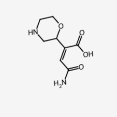 NC(=O)C=C(C(=O)O)C1CNCCO1